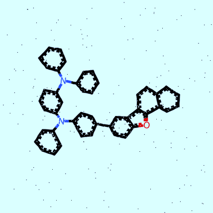 c1ccc(N(c2ccccc2)c2cccc(N(c3ccccc3)c3ccc(-c4ccc5oc6c7ccccc7ccc6c5c4)cc3)c2)cc1